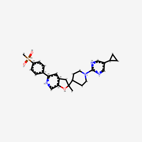 CC1(C2CCN(c3ncc(C4CC4)cn3)CC2)Cc2cc(-c3ccc(S(C)(=O)=O)cc3)ncc2O1